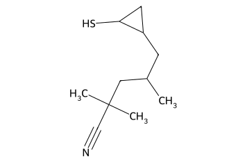 CC(CC1CC1S)CC(C)(C)C#N